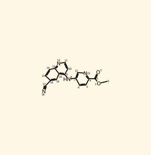 COC(=O)c1ccc(Nc2ccnc3ccc(C#N)cc23)cn1